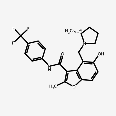 Cc1oc2ccc(O)c(CN3CCC[C@H]3C)c2c1C(=O)Nc1ccc(C(F)(F)F)cc1